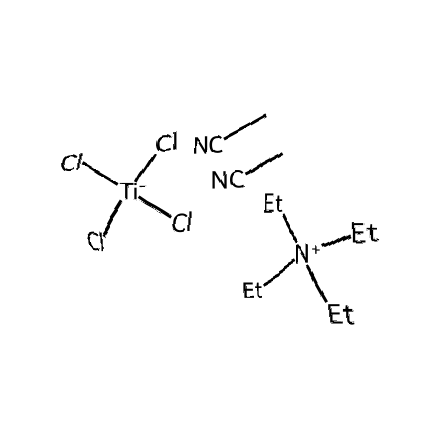 CC#N.CC#N.CC[N+](CC)(CC)CC.[Cl][Ti-]([Cl])([Cl])[Cl]